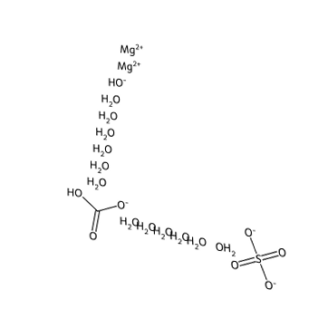 O.O.O.O.O.O.O.O.O.O.O.O.O=C([O-])O.O=S(=O)([O-])[O-].[Mg+2].[Mg+2].[OH-]